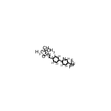 CC(C)(C)[S+]([O-])N=Cc1ccc(-c2ccc(C(F)(F)F)cn2)cc1